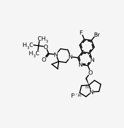 CC(C)(C)OC(=O)N1CCN(c2nc(OC[C@@]34CCCN3C[C@H](F)C4)nc3cc(Br)c(F)cc23)CC12CC2